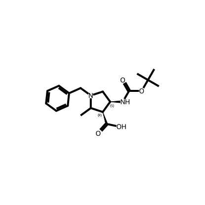 CC1[C@H](C(=O)O)[C@H](NC(=O)OC(C)(C)C)CN1Cc1ccccc1